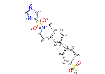 Cn1cnc(S(=O)(=O)N2CCc3cc(-c4ccc(S(C)(=O)=O)cc4)ccc3C2)c1